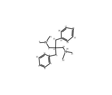 CN(C)CC(Cc1ccccc1)(Cc1ccccc1)CN(C)C